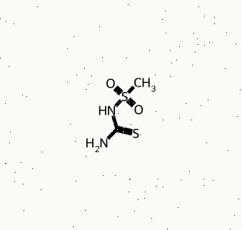 CS(=O)(=O)NC(N)=S